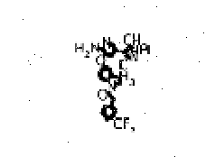 Cc1n[nH]c(C)c1-c1cnc(N)c(Oc2ccc3c(c2)CCN3C(=O)Cc2cccc(C(F)(F)F)c2)c1